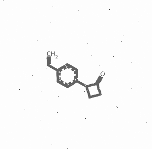 C=Cc1ccc(C2CCC2=O)cc1